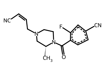 C[C@@H]1CN(C/C=C\C#N)CCN1C(=O)c1ccc(C#N)cc1F